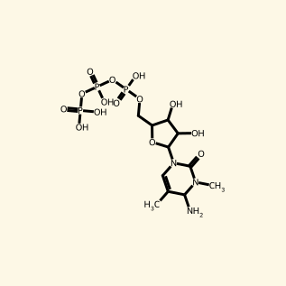 CC1=CN(C2OC(COP(=O)(O)OP(=O)(O)OP(=O)(O)O)C(O)C2O)C(=O)N(C)C1N